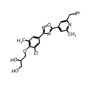 Cc1cc(-c2nc(-c3cc(C)c(OCC(O)CO)c(Cl)c3)no2)cc(CC(C)C)n1